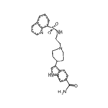 NC(=O)c1ccc2c(C3CCN(CCNS(=O)(=O)c4cccc5cccnc45)CC3)c[nH]c2c1